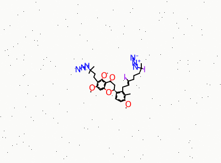 COc1ccc([C@@H]2CC(=O)c3c(cc(OC)c(CCC(C)(C)N=[N+]=[N-])c3OC)O2)c(C/C=C(\I)CCCC(C)(I)N=[N+]=[N-])c1C